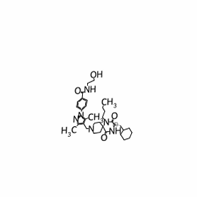 CCCCN1C(=O)[C@H](CC2CCCCC2)NC(=O)C12CCN(Cc1c(C)nn(-c3ccc(C(=O)NCCO)cc3)c1C)CC2